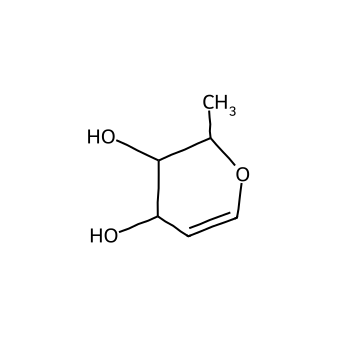 CC1OC=CC(O)C1O